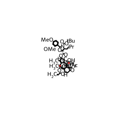 C=CC1O[C@H]2CC3OC[C@@]3(OC(C)=O)[C@H]3[C@H](C)[C@]4(C(C)(C)O)C[C@H](OC(=O)[C@@H]5OC(c6ccc(OC)cc6OC)N(C(=O)OC(C)(C)C)C5CC(C)C)C(C)=C4[C@H](C)[C@H](O1)[C@]23C